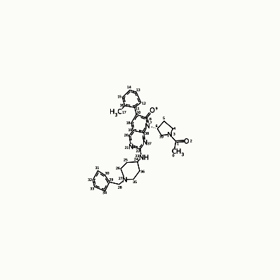 CC(=O)N1CC[C@@H](n2c(=O)c(-c3ccccc3C)cc3cnc(NC4CCN(Cc5ccccc5)CC4)nc32)C1